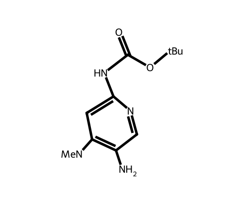 CNc1cc(NC(=O)OC(C)(C)C)ncc1N